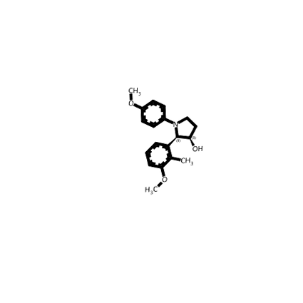 COc1ccc(N2CC[C@@H](O)[C@H]2c2cccc(OC)c2C)cc1